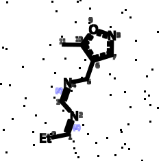 CC/C=N\C=N/Cc1cnoc1C